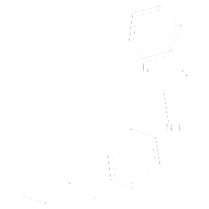 CCCCc1ccc(Nc2nc3ccccc3s2)cc1